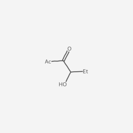 CCC(O)C(=O)C(C)=O